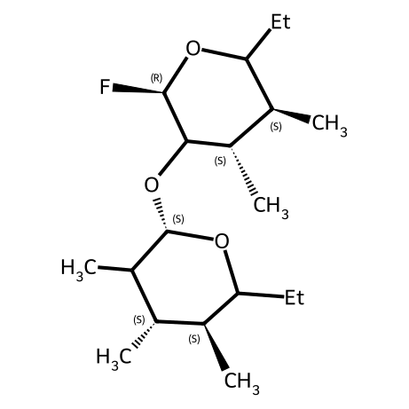 CCC1O[C@@H](OC2[C@@H](C)[C@H](C)C(CC)O[C@@H]2F)C(C)[C@@H](C)[C@@H]1C